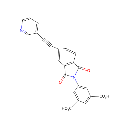 O=C(O)c1cc(C(=O)O)cc(N2C(=O)c3ccc(C#Cc4cccnc4)cc3C2=O)c1